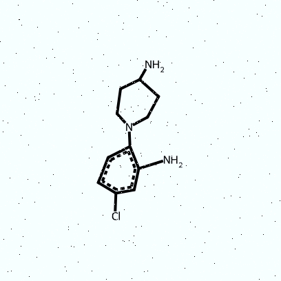 Nc1cc(Cl)ccc1N1CCC(N)CC1